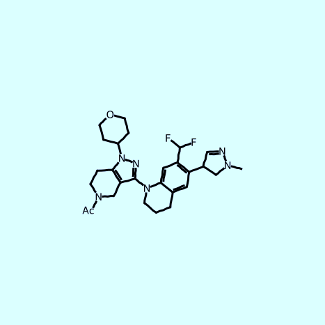 CC(=O)N1CCc2c(c(N3CCCc4cc(C5C=NN(C)C5)c(C(F)F)cc43)nn2C2CCOCC2)C1